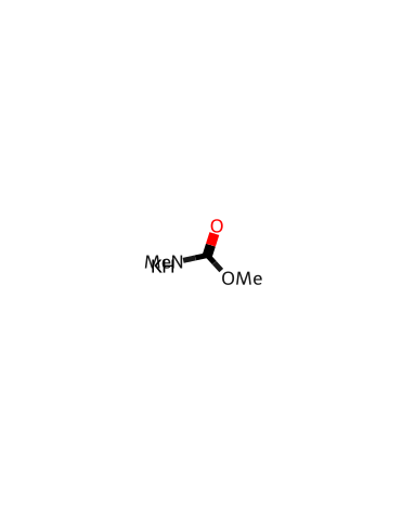 CNC(=O)OC.[KH]